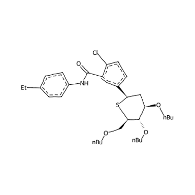 CCCCOC[C@H]1S[C@@H](c2ccc(Cl)c(C(=O)Nc3ccc(CC)cc3)c2)C[C@@H](OCCCC)[C@@H]1OCCCC